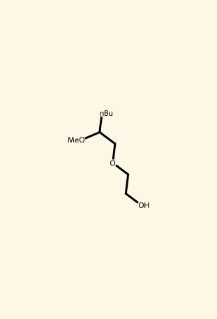 CCCCC(COCCO)OC